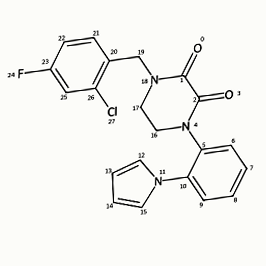 O=C1C(=O)N(c2ccccc2-n2cccc2)CCN1Cc1ccc(F)cc1Cl